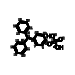 O=S(=O)(O)O.c1ccc(C(c2ccccc2)c2ccccc2)cc1